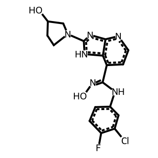 ON=C(Nc1ccc(F)c(Cl)c1)c1ccnc2nc(N3CCC(O)C3)[nH]c12